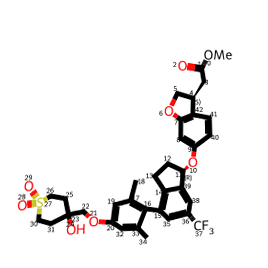 COC(=O)C[C@@H]1COc2cc(O[C@@H]3CCc4c(-c5c(C)cc(OCC6(O)CCS(=O)(=O)CC6)cc5C)cc(C(F)(F)F)cc43)ccc21